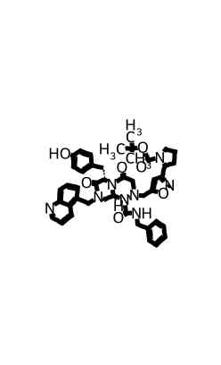 CC(C)(C)OC(=O)N1CCCC1c1cc(CN2CC(=O)N3[C@@H](Cc4ccc(O)cc4)C(=O)N(Cc4cccc5ncccc45)C[C@@H]3N2C(=O)NCc2ccccc2)on1